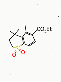 CCOC(=O)c1ccc2c(c1C)C(C)(C)CCS2(=O)=O